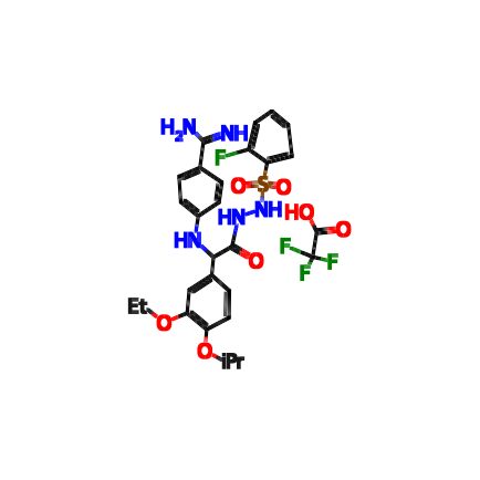 CCOc1cc(C(Nc2ccc(C(=N)N)cc2)C(=O)NNS(=O)(=O)c2ccccc2F)ccc1OC(C)C.O=C(O)C(F)(F)F